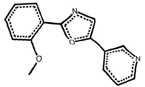 COc1ccccc1-c1ncc(-c2cccnc2)o1